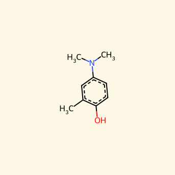 Cc1cc(N(C)C)ccc1O